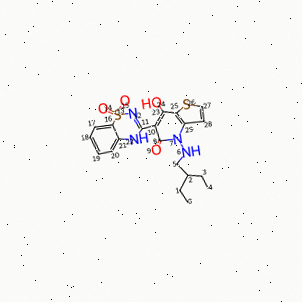 CCC(CC)CNn1c(=O)c(C2=NS(=O)(=O)c3ccccc3N2)c(O)c2sccc21